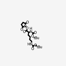 CC(C)(C)OC(=O)NCCCCC(NC(=O)OC(C)(C)C)C(=O)ON1C(=O)CCC1=O